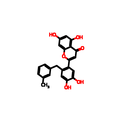 Cc1cccc(Cc2cc(O)c(O)cc2-c2cc(=O)c3c(O)cc(O)cc3o2)c1